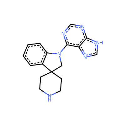 c1ccc2c(c1)N(c1ncnc3[nH]cnc13)CC21CCNCC1